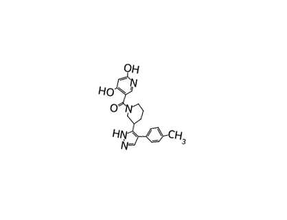 Cc1ccc(-c2cn[nH]c2C2CCCN(C(=O)c3cnc(O)cc3O)C2)cc1